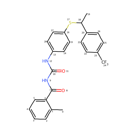 Cc1ccccc1C(=O)NC(=O)Nc1ccc(SC(C)c2ccc(C(F)(F)F)cc2)cc1